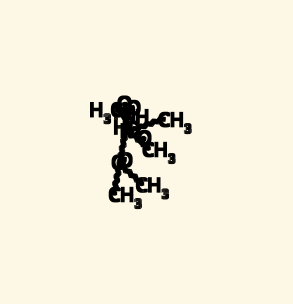 CCCCCCCCCOC(CCCC(=O)CCC)N(CCCCCCCC(=O)OC(CCCCCCCC)CCCCCCCC)CCCNc1c(NC)c(=O)c1=O